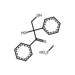 CS(=O)(=O)O.O=C(c1ccccc1)C(O)(CO)c1ccccc1